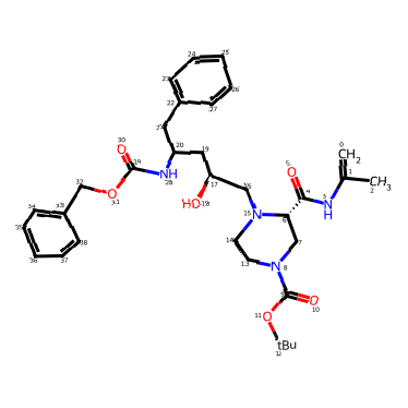 C=C(C)NC(=O)[C@@H]1CN(C(=O)OC(C)(C)C)CCN1C[C@@H](O)CC(Cc1ccccc1)NC(=O)OCc1ccccc1